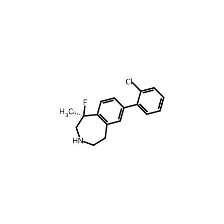 C[C@@]1(F)CNCCc2cc(-c3ccccc3Cl)ccc21